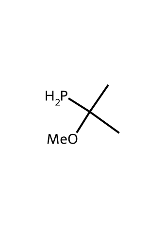 COC(C)(C)P